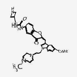 COc1ccc2c(c1)c(C=C1Oc3ccc(NC(=O)NC4CNC4)cc3C1=O)cn2CCN1CCN(C)CC1